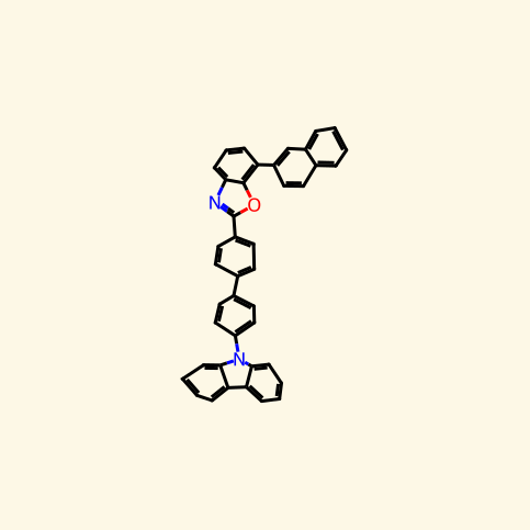 c1ccc2cc(-c3cccc4nc(-c5ccc(-c6ccc(-n7c8ccccc8c8ccccc87)cc6)cc5)oc34)ccc2c1